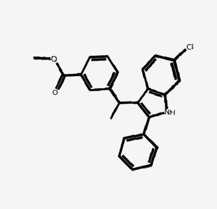 COC(=O)c1cccc(C(C)c2c(-c3ccccc3)[nH]c3cc(Cl)ccc23)c1